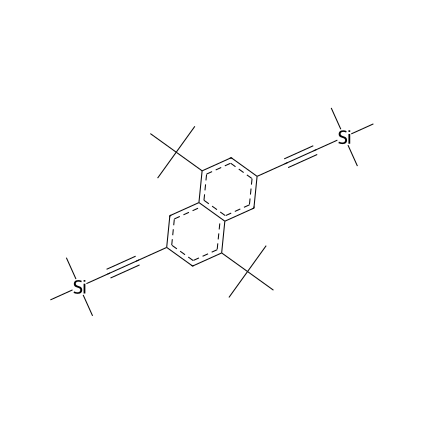 CC(C)(C)c1cc(C#C[Si](C)(C)C)cc2c(C(C)(C)C)cc(C#C[Si](C)(C)C)cc12